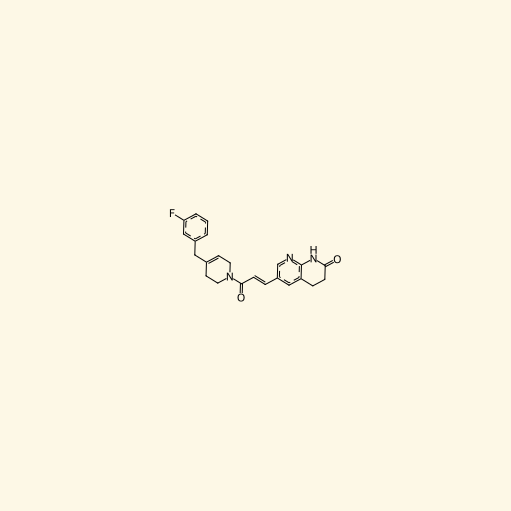 O=C1CCc2cc(/C=C/C(=O)N3CC=C(Cc4cccc(F)c4)CC3)cnc2N1